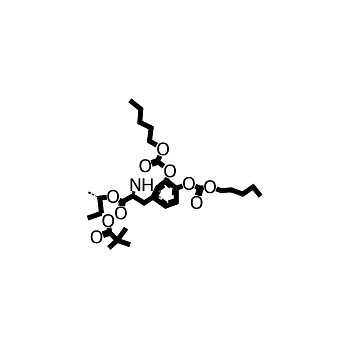 CCCCCOC(=O)Oc1ccc(C[C@H](N)C(=O)O[C@@H](C)C(C)OC(=O)C(C)(C)C)cc1OC(=O)OCCCCC